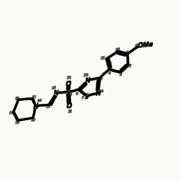 COc1ccc(-c2nsc(S(=O)(=O)/N=C/N3CCCCC3)n2)cc1